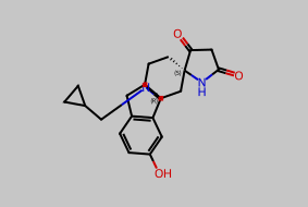 O=C1CC(=O)[C@@]2(CCC34Cc5ccc(O)cc5[C@@]3(CCN(CC3CC3)C4)C2)N1